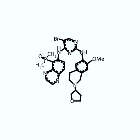 COc1cc2c(cc1Nc1ncc(Br)c(Nc3ccc4nccnc4c3P(C)(C)=O)n1)CCN(C1CCOC1)C2